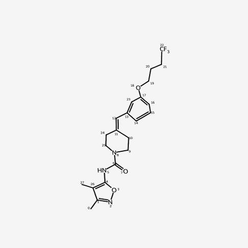 Cc1noc(NC(=O)N2CCC(=Cc3cccc(OCCCC(F)(F)F)c3)CC2)c1C